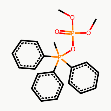 COP(=O)(OC)OP(C)(c1ccccc1)(c1ccccc1)c1ccccc1